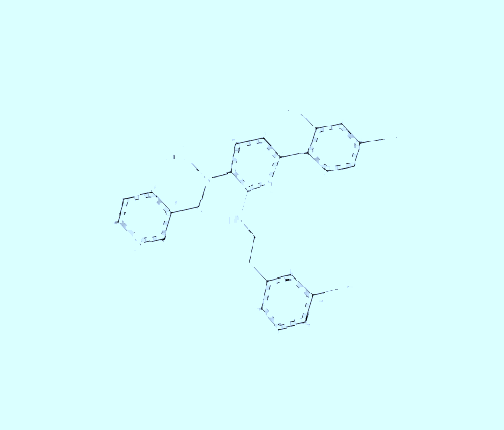 N#Cc1cc(F)ccc1-c1ccc(N(C=O)Cc2cccnc2)c(NCCc2cccc(F)c2)n1